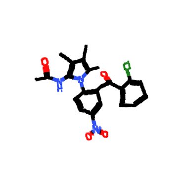 CC(=O)Nc1c(C)c(C)c(C)n1-c1ccc([N+](=O)[O-])cc1C(=O)c1ccccc1Cl